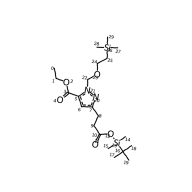 CCOC(=O)c1cc(CCC(=O)O[Si](C)(C)C(C)(C)C)nn1COCC[Si](C)(C)C